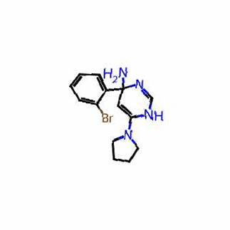 NC1(c2ccccc2Br)C=C(N2CCCC2)NC=N1